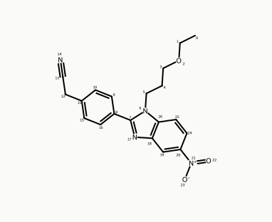 CCOCCCn1c(-c2ccc(CC#N)cc2)nc2cc([N+](=O)[O-])ccc21